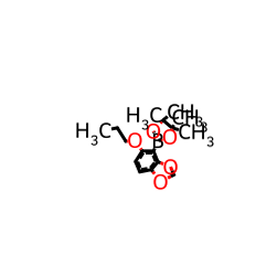 CCCOc1ccc2c(c1B1OC(C)(C)C(C)(C)O1)OCO2